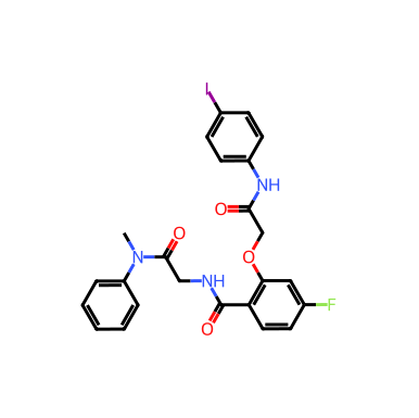 CN(C(=O)CNC(=O)c1ccc(F)cc1OCC(=O)Nc1ccc(I)cc1)c1ccccc1